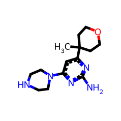 CC1(c2cc(N3CCNCC3)nc(N)n2)CCOCC1